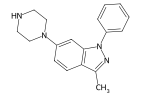 Cc1nn(-c2ccccc2)c2cc(N3CCNCC3)ccc12